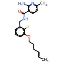 CC=CCCCOc1cccc(CNC(=O)c2ccc(C)nc2N)c1F